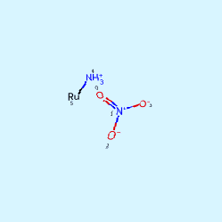 O=[N+]([O-])[O-].[NH3+][Ru]